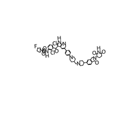 O=C1CC[C@H](N2Cc3cc(C4CCN(CC5CCN(c6ccc(-c7cnc8[nH]cc(C(=O)c9c(Cl)ccc(NS(=O)(=O)N%10CC[C@@H](F)C%10)c9Cl)c8c7)cc6)CC5)CC4)ccc3C2=O)C(=O)N1